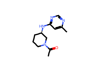 CC(=O)N1CCC[C@@H](Nc2cc(C)ncn2)C1